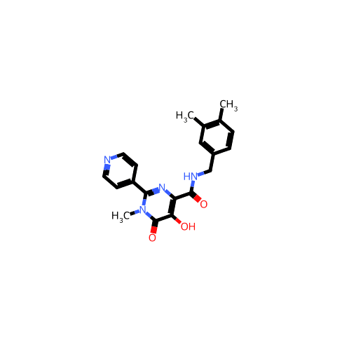 Cc1ccc(CNC(=O)c2nc(-c3ccncc3)n(C)c(=O)c2O)cc1C